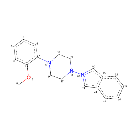 COc1ccccc1N1CCN(n2cc3ccccc3c2)CC1